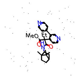 CCC(C(=O)NC1CC2CCC1(C)C2(C)C)(C(=O)OC)c1ccncc1-c1ccncc1